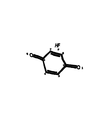 F.O=C1C=CC(=O)C=C1